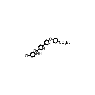 CCOC(=O)[C@H]1CC[C@H](Oc2ccc(-c3ccc(-c4nc5cc(Cl)ccc5[nH]4)cn3)cn2)CC1